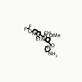 CCn1c(-c2nc3cc(C(=O)N4CCCC(N)C4)cc(OC)c3n2C)cc2ccc(OC(F)F)nc21